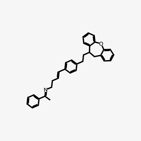 C/C(=N\CC/C=C/c1ccc(CCC2Cc3ccccc3Oc3ccccc32)cc1)c1ccccc1